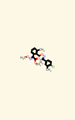 CO/N=C(/C(=O)OC)c1cccc(C)c1CO/N=C(\C)c1ccc(Cl)c(C)c1